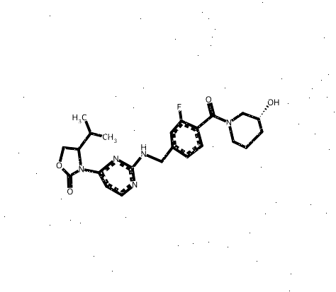 CC(C)C1COC(=O)N1c1ccnc(NCc2ccc(C(=O)N3CCC[C@@H](O)C3)c(F)c2)n1